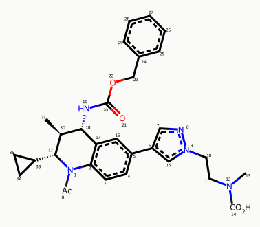 CC(=O)N1c2ccc(-c3cnn(CCN(C)C(=O)O)c3)cc2[C@@H](NC(=O)OCc2ccccc2)[C@H](C)[C@H]1C1CC1